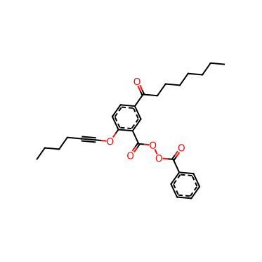 CCCCC#COc1ccc(C(=O)CCCCCCC)cc1C(=O)OOC(=O)c1ccccc1